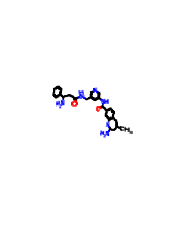 CC1=Cc2ccc(C(=O)Nc3cncc(CNC(=O)CC(N)c4ccccc4)c3)cc2N=C(N)C1